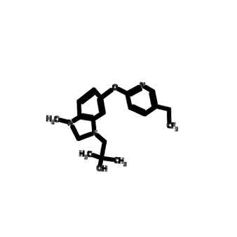 CN1CN(CC(C)(C)O)c2cc(Oc3ccc(CC(F)(F)F)cn3)ccc21